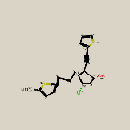 O=C(O)c1ccc(CCC[C@@H]2[C@@H](C#Cc3cccs3)[C@H](O)C[C@@H]2Cl)s1